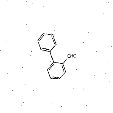 O=Cc1ccccc1-c1[c]nccc1